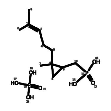 CC(C)=CCCC1(C)CC1CP(=O)(O)O.O=P(O)(O)O